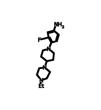 CCN1CCN(C2CCN(c3ccc(N)cc3F)CC2)CC1